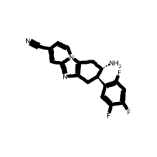 N#Cc1ccn2c3c(nc2c1)C[C@H](c1cc(F)c(F)cc1F)[C@@H](N)C3